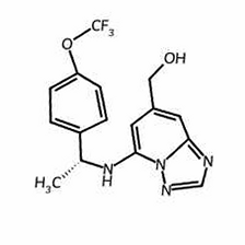 C[C@@H](Nc1cc(CO)cc2ncnn12)c1ccc(OC(F)(F)F)cc1